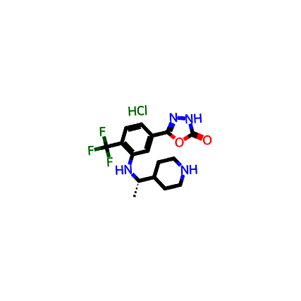 C[C@H](Nc1cc(-c2n[nH]c(=O)o2)ccc1C(F)(F)F)C1CCNCC1.Cl